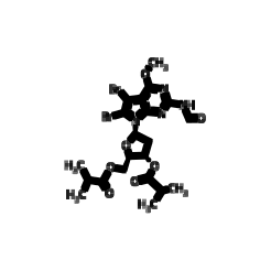 COc1nc(NC=O)nc2c1c(Br)c(Br)n2[C@H]1C[C@H](OC(=O)C(C)C)[C@@H](COC(=O)C(C)C)O1